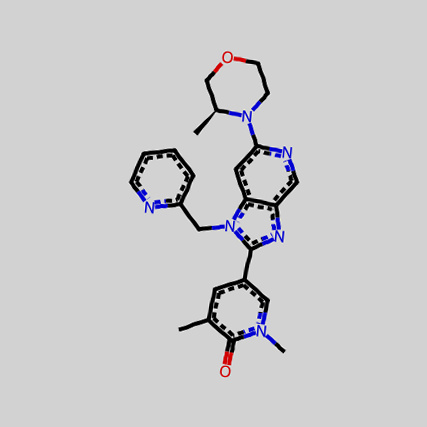 Cc1cc(-c2nc3cnc(N4CCOC[C@@H]4C)cc3n2Cc2ccccn2)cn(C)c1=O